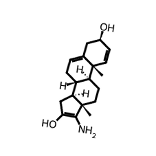 C[C@]12C=C[C@H](O)CC1=CC[C@@H]1[C@@H]2CC[C@]2(C)C(N)=C(O)C[C@@H]12